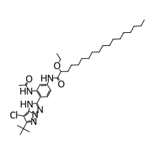 CCCCCCCCCCCCCCCCC(OCC)C(=O)Nc1ccc(-c2nn3nc(C(C)(C)C)c(Cl)c3[nH]2)c(NC(C)=O)c1